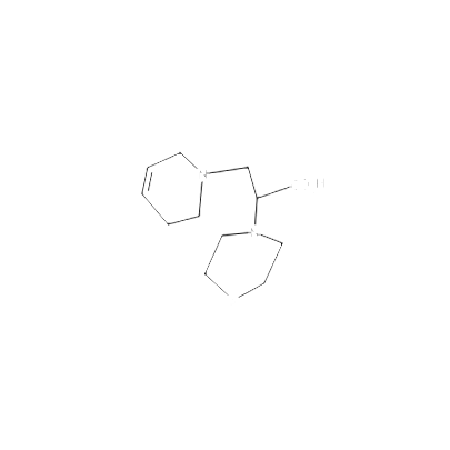 O=C(O)C(CN1CC=CCC1)N1CCSCC1